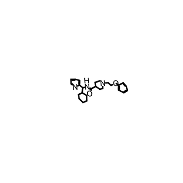 O=C(NC(c1ccccn1)C1CCCCC1)C1CCN(CCOc2ccccc2)CC1